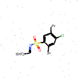 COC=NS(=O)(=O)c1cc(C(C)C)c(Cl)cc1C(C)C